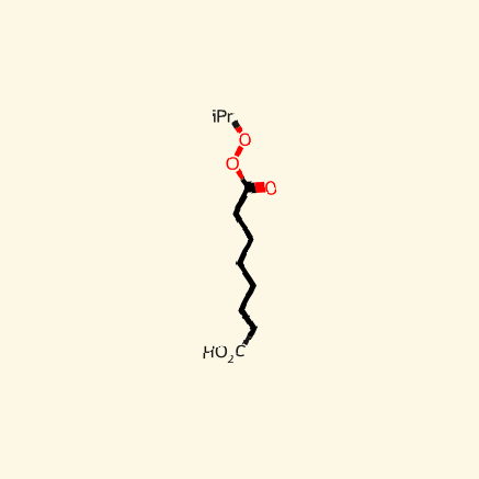 CC(C)OOC(=O)CCCCCCC(=O)O